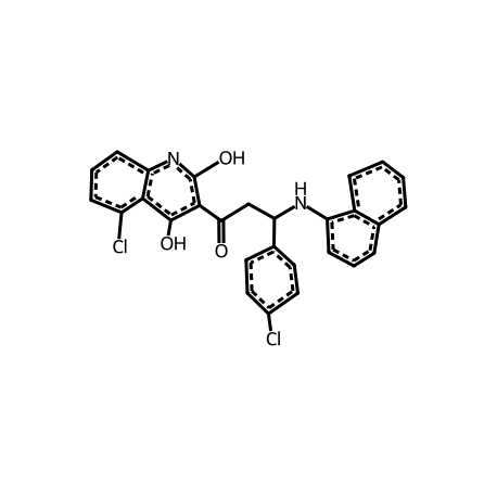 O=C(CC(Nc1cccc2ccccc12)c1ccc(Cl)cc1)c1c(O)nc2cccc(Cl)c2c1O